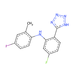 Cc1cc(I)ccc1Nc1cc(F)ccc1-c1nnn[nH]1